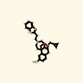 Oc1ccc2c(c1)C13CCN(CCc4nc5ccccc5s4)CCC1(O)C(C2)N(CC1CC1)CC3